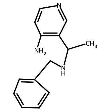 CC(NCc1ccccc1)c1cnccc1N